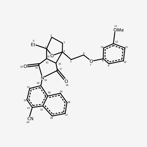 CCC12CCC(CCOc3cccc(OC)c3)(O1)C1C(=O)N(c3ccc(C#N)c4ccccc34)C(=O)C12